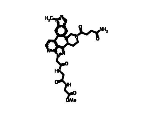 COC(=O)CNC(=O)CNC(=O)Cn1nc(C2CCN(C(=O)CCC(N)=O)CC2)c2c(-c3cc4c(cnn4C)cc3F)ccnc21